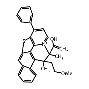 C=C(O)C1(C)[n+]2ccc(-c3ccccc3)c3sc4cc5ccccc5c(c4c32)C1(C)CCOC